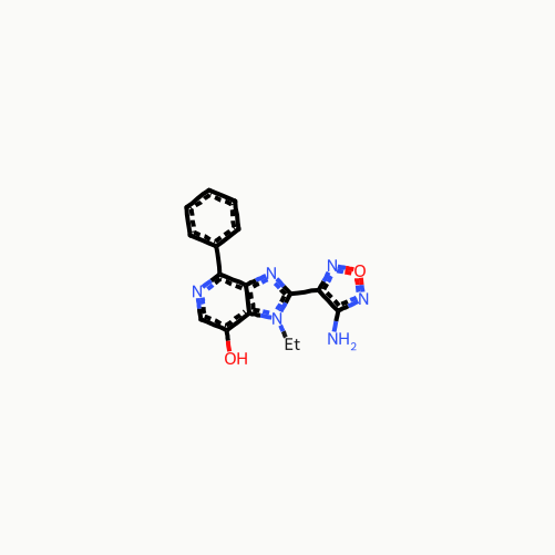 CCn1c(-c2nonc2N)nc2c(-c3ccccc3)ncc(O)c21